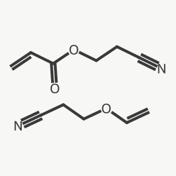 C=CC(=O)OCCC#N.C=COCCC#N